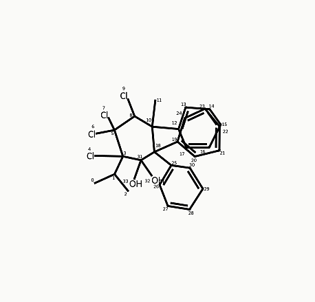 CC(C)C1(Cl)C(Cl)(Cl)C(Cl)C(C)(c2ccccc2)C(c2ccccc2)(c2ccccc2)C1(O)O